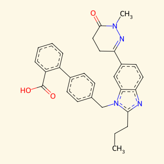 CCCc1nc2ccc(C3=NN(C)C(=O)CC3)cc2n1Cc1ccc(-c2ccccc2C(=O)O)cc1